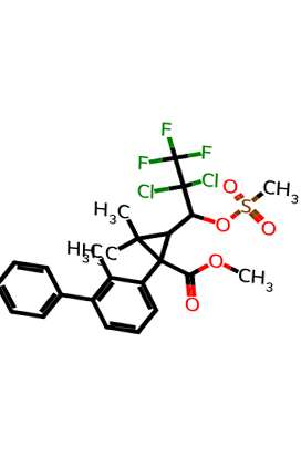 COC(=O)C1(c2cccc(-c3ccccc3)c2C)C(C(OS(C)(=O)=O)C(Cl)(Cl)C(F)(F)F)C1(C)C